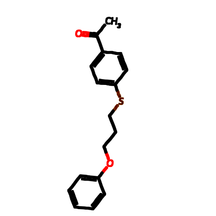 CC(=O)c1ccc(SCCCOc2ccccc2)cc1